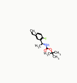 C=Cc1ccc(F)c(C(C)NC(=O)OC(C)(C)C)c1